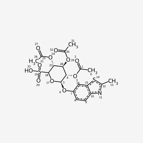 CC(=O)O[C@@H]1[C@@H](Oc2ccc3nc(C)sc3c2)OC(S(=O)(=O)O)[C@H](OC(C)=O)[C@H]1OC(C)=O